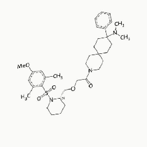 COc1cc(C)c(S(=O)(=O)N2CCCC[C@H]2COCC(=O)N2CCC3(CC2)CCC(c2ccccc2)(N(C)C)CC3)c(C)c1